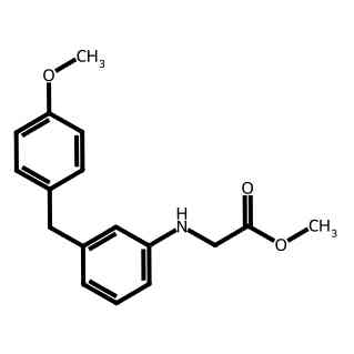 COC(=O)CNc1cccc(Cc2ccc(OC)cc2)c1